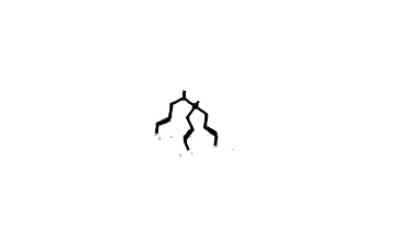 CCCCCCC/C=C/CC(C(=O)O)C(C/C=C/CCCCCCC)(C/C=C/CCCCCCC)C(=O)O